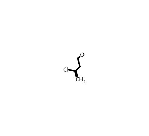 C=C(Cl)CC[O]